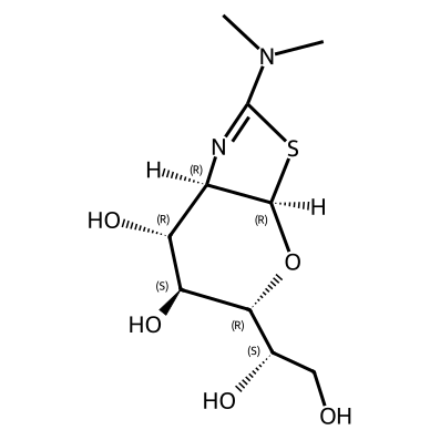 CN(C)C1=N[C@@H]2[C@@H](O)[C@H](O)[C@@H]([C@@H](O)CO)O[C@@H]2S1